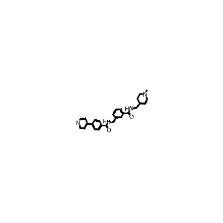 CN1CCC(CNC(=O)c2cccc(CNC(=O)c3ccc(-c4ccncc4)cc3)c2)CC1